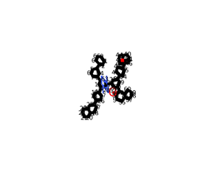 c1ccc(-c2cccc(-c3cc(-c4ccc(-c5ccc6ccccc6c5)cc4)nc(-c4cc(-c5ccc(C67CC8CC(CC(C8)C6)C7)cc5)cc5c4oc4ccc6ccccc6c45)n3)c2)cc1